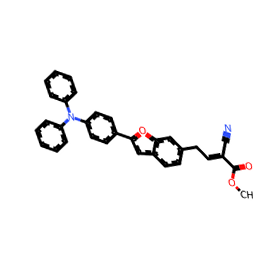 COC(=O)/C(C#N)=C/Cc1ccc2cc(-c3ccc(N(c4ccccc4)c4ccccc4)cc3)oc2c1